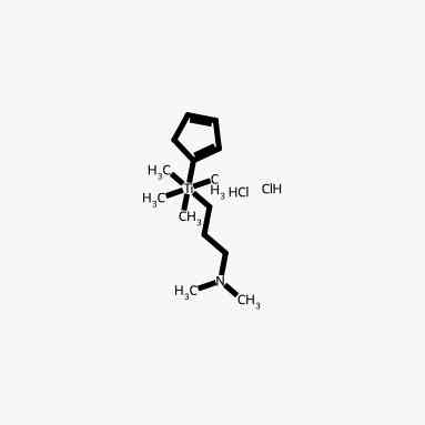 CN(C)CC[CH2][Ti]([CH3])([CH3])([CH3])([CH3])[C]1=CC=CC1.Cl.Cl